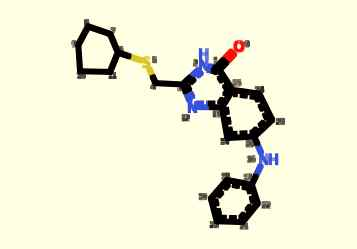 O=c1[nH]c(CSC2CCCCC2)nc2cc(Nc3ccccc3)ccc12